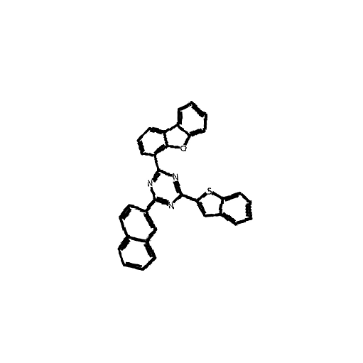 c1ccc2cc(-c3nc(-c4cc5ccccc5s4)nc(-c4cccc5c4oc4ccccc45)n3)ccc2c1